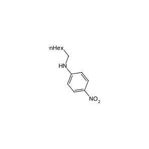 CCCCC[CH]CNc1ccc([N+](=O)[O-])cc1